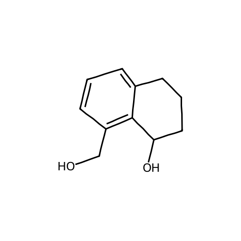 OCc1cccc2c1C(O)CCC2